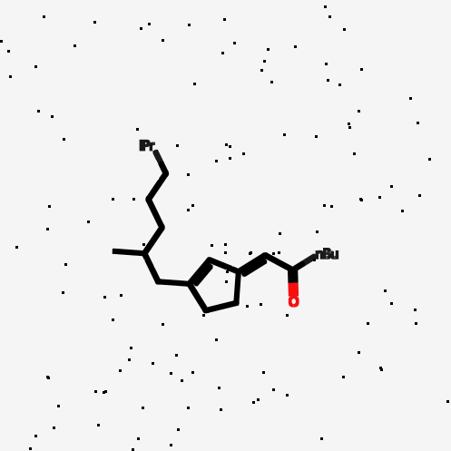 CCCCC(=O)C=C1C=C(CC(C)CCCC(C)C)CC1